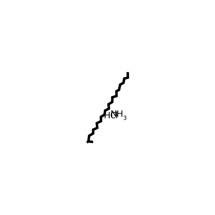 CCCCCCCCCCCCCCCCCCCCCC(C)C.Cl.N